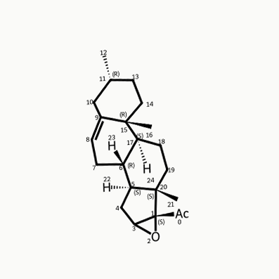 CC(=O)[C@@]12OC1C[C@H]1[C@@H]3CC=C4C[C@H](C)CC[C@]4(C)[C@H]3CC[C@@]12C